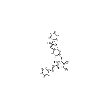 CC(C)OC(=O)[C@H](Cc1ccc(OS(=O)(=O)c2ccccc2)cc1)NC(=O)OCc1ccccc1